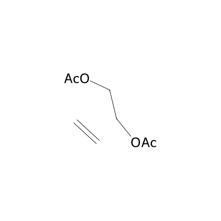 C=C.CC(=O)OCCOC(C)=O